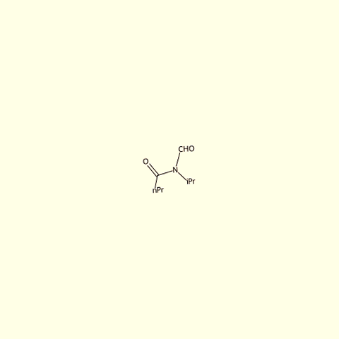 CCCC(=O)N(C=O)C(C)C